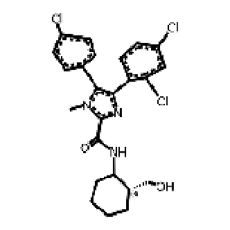 Cn1c(C(=O)NC2CCCC[C@H]2CO)nc(-c2ccc(Cl)cc2Cl)c1-c1ccc(Cl)cc1